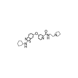 O=C(NCCN1CCCC1)c1cc(Oc2ccc3nc(NC4CCCCC4)sc3c2)ccn1